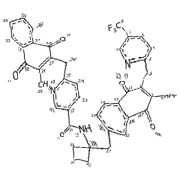 CCCC1=C(Cc2ccc(C(F)(F)F)cn2)C(=O)c2ccc(CC3(NC(=O)c4ccc(CC5=C(C)C(=O)c6ccccc6C5=O)nc4)CCC3)cc2C1=O